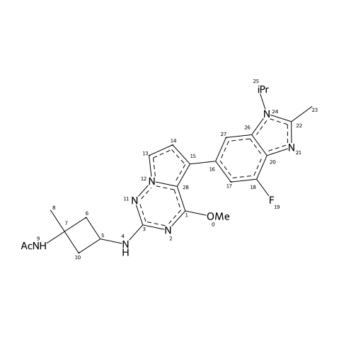 COc1nc(NC2CC(C)(NC(C)=O)C2)nn2ccc(-c3cc(F)c4nc(C)n(C(C)C)c4c3)c12